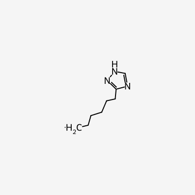 [CH2]CCCCCc1nc[nH]n1